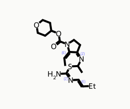 C/C=C1\C(=N/C(C)S/C(N)=N\C=C\CC)CCN1C(=O)OC1CCOCC1